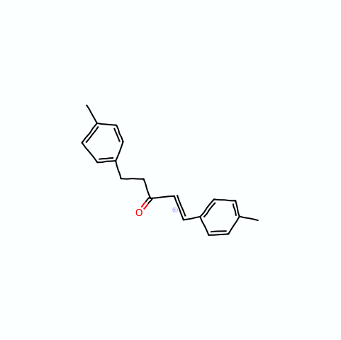 Cc1ccc(/C=C/C(=O)CCc2ccc(C)cc2)cc1